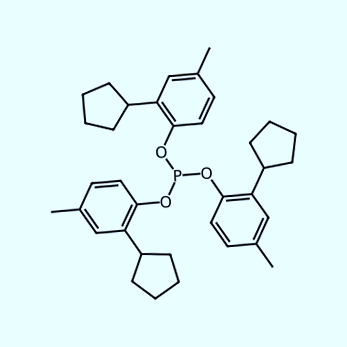 Cc1ccc(OP(Oc2ccc(C)cc2C2CCCC2)Oc2ccc(C)cc2C2CCCC2)c(C2CCCC2)c1